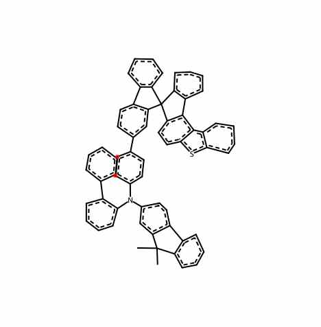 CC1(C)c2ccccc2-c2ccc(N(c3ccc(-c4ccc5c(c4)C4(c6ccccc6-5)c5ccccc5-c5c4ccc4sc6ccccc6c54)cc3)c3ccccc3-c3ccccc3)cc21